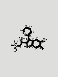 CS(=O)(=O)CC(O)c1[nH]c2cc(F)c(Br)cc2c1-c1ccccn1